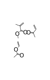 C=C(C)C(=O)OC.C=CC(C)=O.C=COC(C)=O